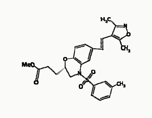 COC(=O)CC[C@H]1CN(S(=O)(=O)c2cccc(C)c2)c2cc(/C=C/c3c(C)noc3C)ccc2O1